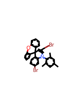 Cc1cc(C)c(N2c3cc(Br)ccc3C3(c4ccccc4Oc4ccccc43)c3ccc(Br)cc32)c(C)c1